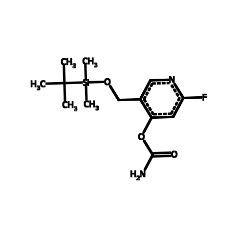 CC(C)(C)[Si](C)(C)OCc1cnc(F)cc1OC(N)=O